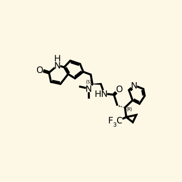 CN(C)[C@H](CNC(=O)C[C@H](c1cccnc1)C1(C(F)(F)F)CC1)Cc1ccc2[nH]c(=O)ccc2c1